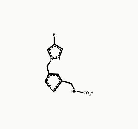 O=C(O)NCc1cccc(Cn2cc(Br)cn2)c1